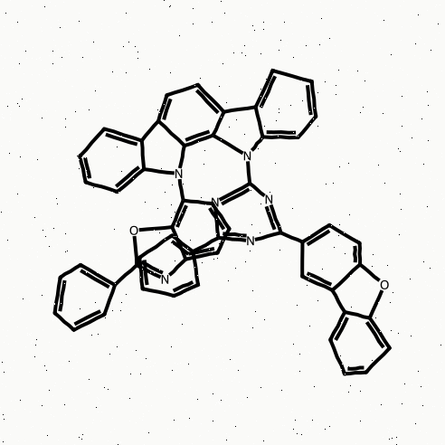 c1ccc(-c2nc(-c3ccc4oc5ccccc5c4c3)nc(-n3c4ccccc4c4ccc5c6ccccc6n(-c6cccc7nc(-c8ccccc8)oc67)c5c43)n2)cc1